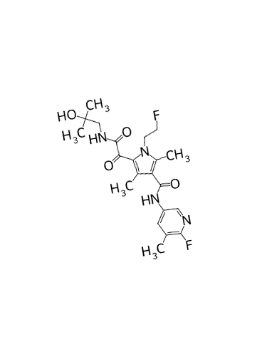 Cc1cc(NC(=O)c2c(C)c(C(=O)C(=O)NCC(C)(C)O)n(CCF)c2C)cnc1F